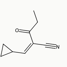 CCC(=O)/C(C#N)=C\C1CC1